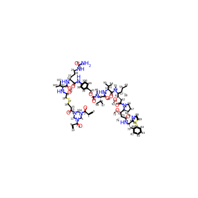 C=CC(=O)N1CN(C(=O)C=C)CN(C(=O)CCSCC(=O)N[C@H](C(=O)N[C@@H](CCCNC(N)=O)C(=O)Nc2ccc(COC(=O)N(C)[C@H](C(=O)N[C@H](C(=O)N(C)[C@@H]([C@@H](C)CC)[C@@H](CC(=O)N3CCC[C@H]3[C@H](OC)[C@@H](C)C(=O)N[C@@H](Cc3ccccc3)c3nccs3)OC)C(C)C)C(C)C)cc2)C(C)C)C1